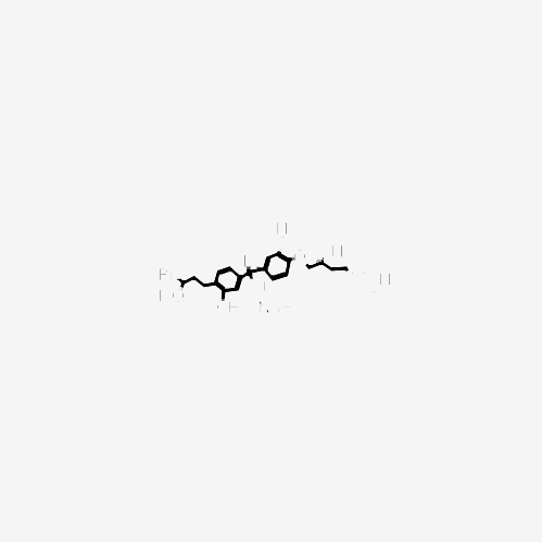 CCC(CC)(c1ccc(CCC(O)C(C)(C)C)c(C)c1)c1ccc(OC[C@H](O)CCC(=O)O)c(C)c1.[NaH]